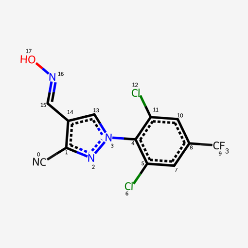 N#Cc1nn(-c2c(Cl)cc(C(F)(F)F)cc2Cl)cc1C=NO